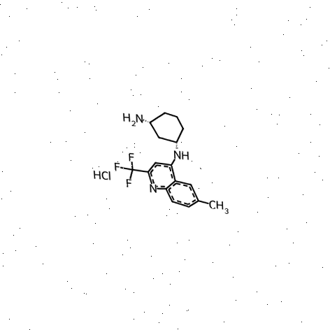 Cc1ccc2nc(C(F)(F)F)cc(N[C@H]3CCC[C@@H](N)C3)c2c1.Cl